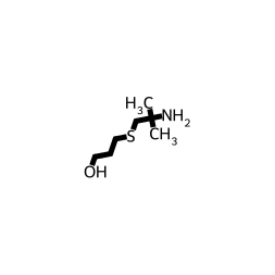 CC(C)(N)CSCCCO